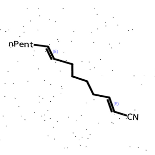 CCCCC/C=C/CCCC/C=C/C#N